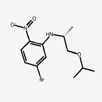 CC(C)OC[C@@H](C)Nc1cc(Br)ccc1[N+](=O)[O-]